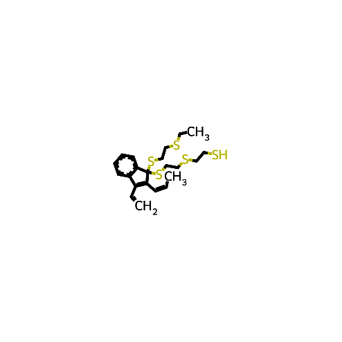 C=CC1=C(/C=C\C)C(SCCSCC)(SCCSCCS)c2ccccc21